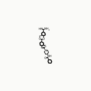 N=C(N)c1ccc(OC(=O)c2ccc3nc(N4CCC(NC(=O)c5ccccc5)CC4)sc3c2)c(F)c1